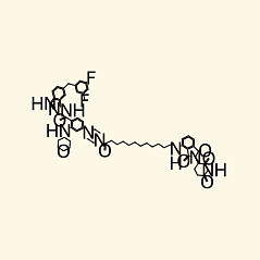 O=C1CCC(N2C(=O)c3cccc(NCCCCCCCCCCCC(=O)N4CCN(c5ccc(C(=O)Nc6n[nH]c7ccc(Cc8cc(F)cc(F)c8)cc67)c(NC6CCOCC6)c5)CC4)c3C2=O)C(=O)N1